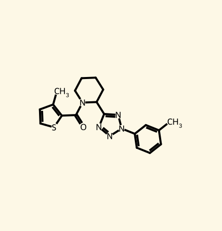 Cc1cccc(-n2nnc(C3CCCCN3C(=O)c3sccc3C)n2)c1